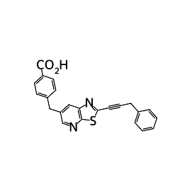 O=C(O)c1ccc(Cc2cnc3sc(C#CCc4ccccc4)nc3c2)cc1